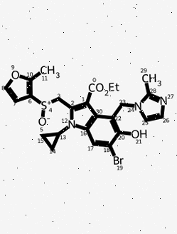 CCOC(=O)c1c(C[S+]([O-])c2ccoc2C)n(C2CC2)c2cc(Br)c(O)c(Cn3ccnc3C)c12